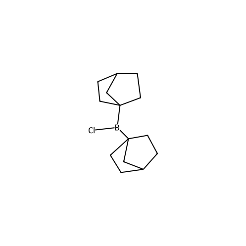 ClB(C12CCC(CC1)C2)C12CCC(CC1)C2